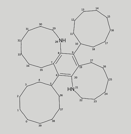 C1CCCCC(c2c3c(c(C4CCCCCCCC4)c4c2NCCCCCC4)NCCCCCCC3)CCCC1